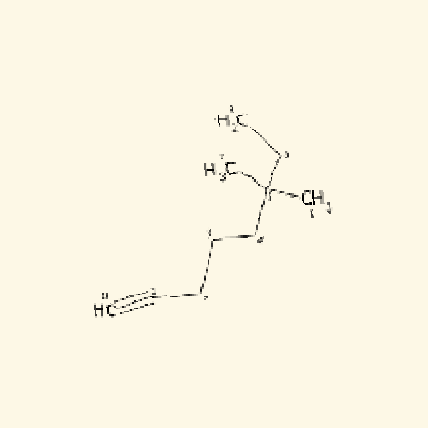 C#CCCCC(C)(C)C[CH2]